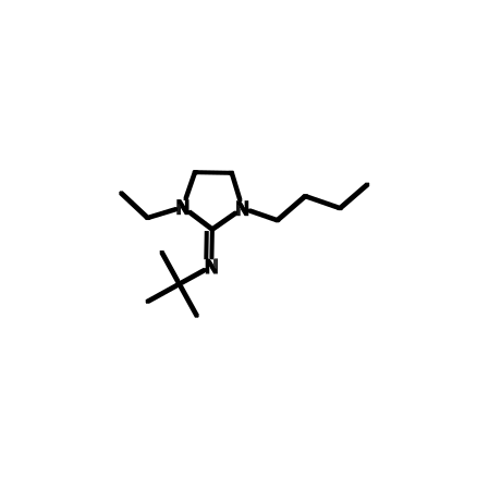 CCCCN1CCN(CC)C1=NC(C)(C)C